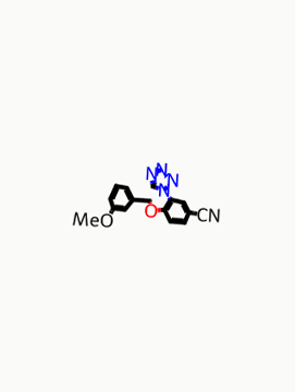 COc1cccc(COc2ccc(C#N)cc2-n2cnnn2)c1